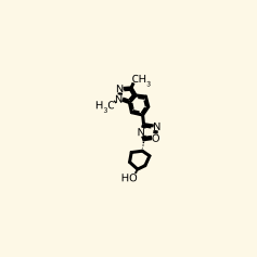 Cc1nn(C)c2cc(-c3noc([C@H]4CC[C@H](O)CC4)n3)ccc12